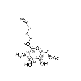 C#CCCCO[C@H]1O[C@@H](COC(C)=O)[C@@H](O)[C@@H](O)[C@@H]1N